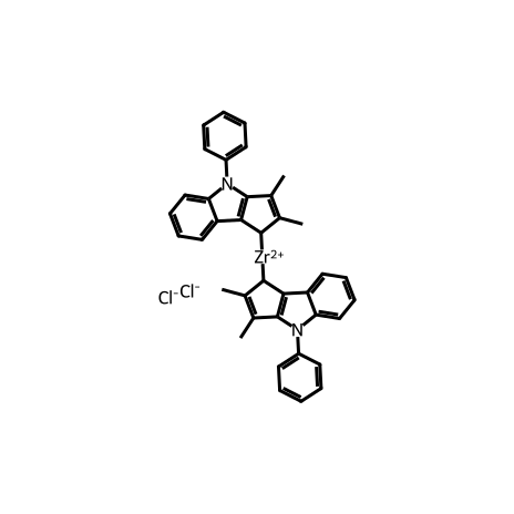 CC1=C(C)[CH]([Zr+2][CH]2C(C)=C(C)c3c2c2ccccc2n3-c2ccccc2)c2c1n(-c1ccccc1)c1ccccc21.[Cl-].[Cl-]